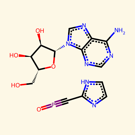 Nc1ncnc2c1ncn2[C@@H]1O[C@H](CO)[C@@H](O)[C@H]1O.O=P#Cc1ncc[nH]1